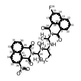 CCC(NC(C)N1C(=O)c2cccc3cc(F)cc(c23)C1=O)N(C)C(C)N1C(=O)c2cccc3ccc([N+](=O)[O-])c(c23)C1=O